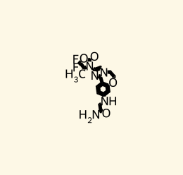 CC1N(c2cn3c(n2)-c2ccc(NCC(N)=O)cc2OCC3)C(=O)OC1(F)F